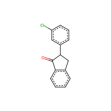 O=C1c2ccccc2CC1c1cccc(Cl)c1